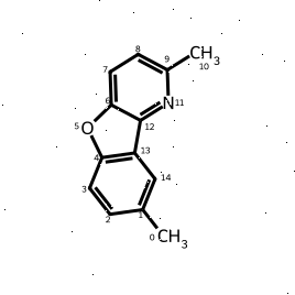 Cc1ccc2oc3ccc(C)nc3c2c1